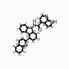 O=C(NC1c2ccccc2-c2c(-c3ccc4ccccc4n3)cccc21)c1ccnc2[nH]ccc12